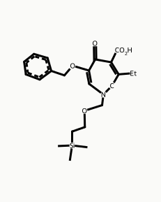 CCC1=C(C(=O)O)C(=O)C(OCc2ccccc2)=CN(COCC[Si](C)(C)C)C1